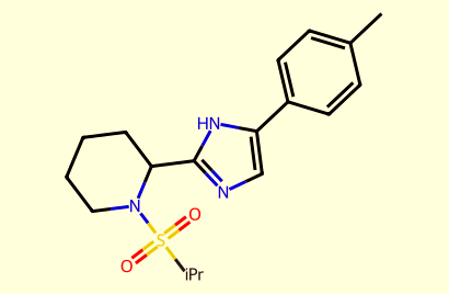 Cc1ccc(-c2cnc(C3CCCCN3S(=O)(=O)C(C)C)[nH]2)cc1